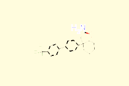 NC(=O)CC1(c2ccc(-c3ccc(C(F)(F)F)cc3)cc2)CCCCC1